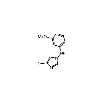 COc1cccc(Nn2cnc(Cl)c2)c1